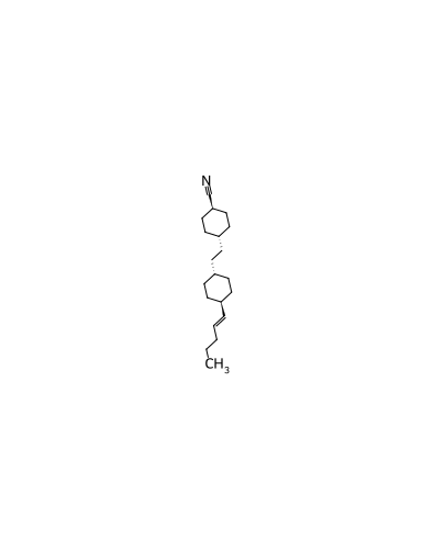 CCCC=C[C@H]1CC[C@H](CC[C@H]2CC[C@H](C#N)CC2)CC1